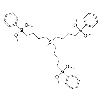 CO[Si](CCCC[Si](C)(CCCC[Si](OC)(OC)c1ccccc1)CCCC[Si](OC)(OC)c1ccccc1)(OC)c1ccccc1